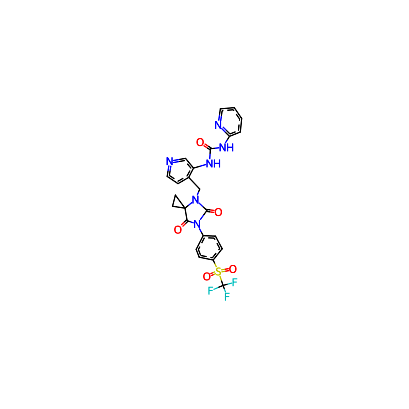 O=C(Nc1ccccn1)Nc1cnccc1CN1C(=O)N(c2ccc(S(=O)(=O)C(F)(F)F)cc2)C(=O)C12CC2